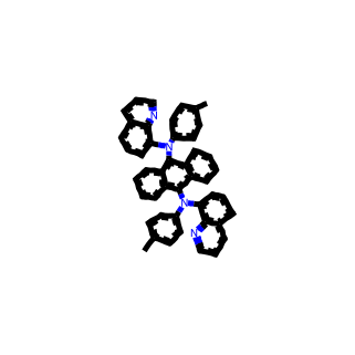 Cc1ccc(N(c2c3ccccc3c(N(c3ccc(C)cc3)c3cccc4cccnc34)c3ccccc23)c2cccc3cccnc23)cc1